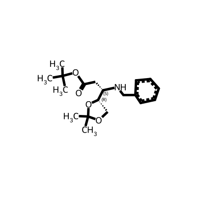 CC(C)(C)OC(=O)C[C@H](NCc1ccccc1)[C@@H]1COC(C)(C)O1